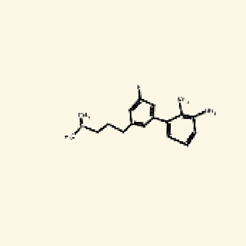 CN(C)CCCc1cc(F)cc(-c2cccc(N)c2N)c1